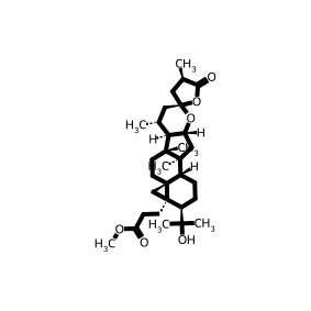 COC(=O)CC[C@]12C[C@]13CC[C@]1(C)[C@H]4[C@H](C)C[C@]5(C[C@@H](C)C(=O)O5)O[C@@H]4C[C@@]1(C)[C@@H]3CC[C@H]2C(C)(C)O